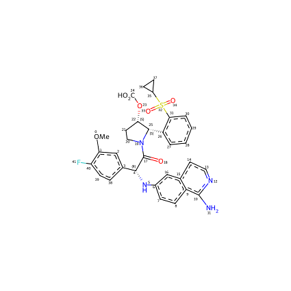 COc1cc([C@@H](Nc2ccc3c(N)nccc3c2)C(=O)N2CC[C@H](OC(=O)O)[C@@H]2c2ccccc2S(=O)(=O)C2CC2)ccc1F